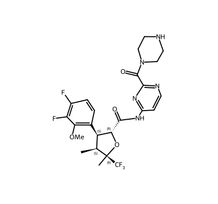 COc1c([C@H]2[C@H](C(=O)Nc3ccnc(C(=O)N4CCNCC4)n3)O[C@@](C)(C(F)(F)F)[C@H]2C)ccc(F)c1F